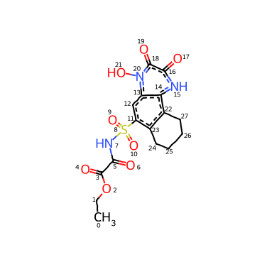 CCOC(=O)C(=O)NS(=O)(=O)c1cc2c([nH]c(=O)c(=O)n2O)c2c1CCCC2